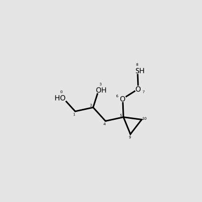 OCC(O)CC1(OOS)CC1